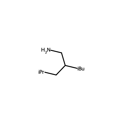 CCC(C)C(CN)CC(C)C